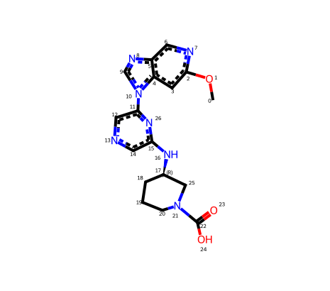 COc1cc2c(cn1)ncn2-c1cncc(N[C@@H]2CCCN(C(=O)O)C2)n1